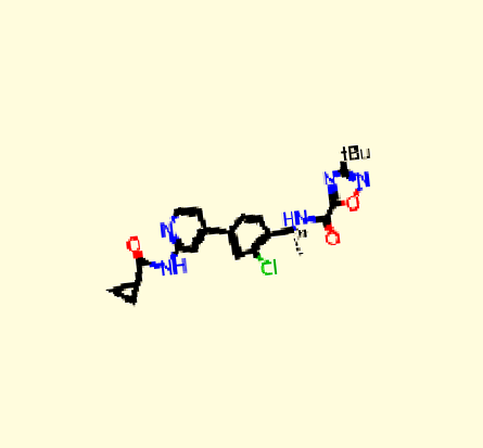 C[C@@H](NC(=O)c1nc(C(C)(C)C)no1)c1ccc(-c2ccnc(NC(=O)C3CC3)c2)cc1Cl